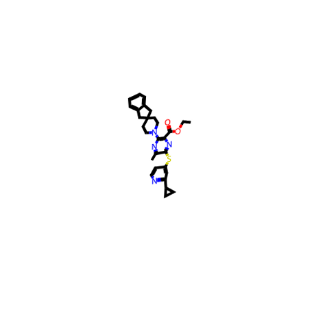 CCOC(=O)c1nc(Sc2ccnc(C3CC3)c2)c(C)nc1N1CCC2(CC1)Cc1ccccc1C2